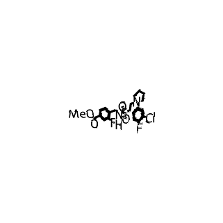 COC(=O)c1ccc(CNS(=O)(=O)CC[N+]2(c3ccc(F)c(Cl)c3)CCCC2)c(F)c1